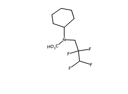 O=C(O)N(CC(F)(F)C(F)F)C1CCCCC1